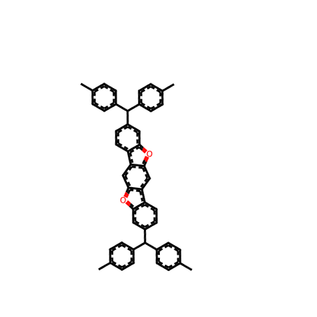 Cc1ccc(C(c2ccc(C)cc2)c2ccc3c(c2)oc2cc4c(cc23)oc2cc(C(c3ccc(C)cc3)c3ccc(C)cc3)ccc24)cc1